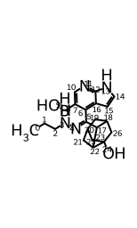 CCCN/N=C(\c1c(BO)cnc2[nH]ccc12)C1C2CC3CC1C(O)(C3)C2